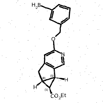 Bc1cccc(COc2cc3c(cn2)[C@H]2[C@@H](C3)[C@@H]2C(=O)OCC)c1